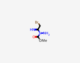 COC(=O)N(N)C(=N)CBr